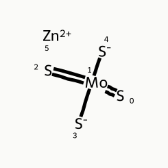 [S]=[Mo](=[S])([S-])[S-].[Zn+2]